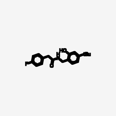 CC(C)(C)c1ccc(CNC(=O)Cc2ccc(F)cc2)c(O)c1